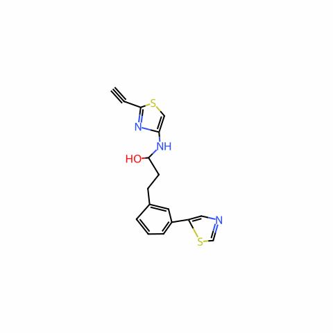 C#Cc1nc(NC(O)CCc2cccc(-c3cncs3)c2)cs1